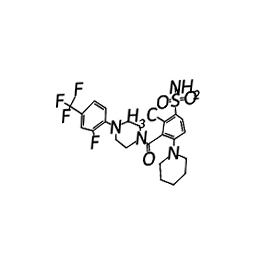 Cc1c(S(N)(=O)=O)ccc(N2CCCCC2)c1C(=O)N1CCN(c2ccc(C(F)(F)F)cc2F)CC1